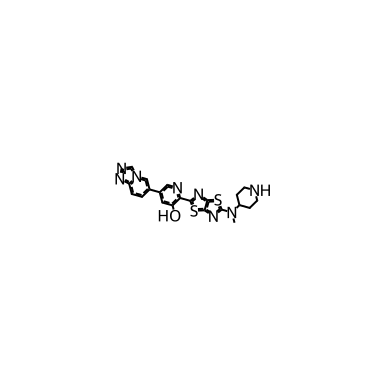 CN(c1nc2sc(-c3ncc(-c4ccc5nncn5c4)cc3O)nc2s1)C1CCNCC1